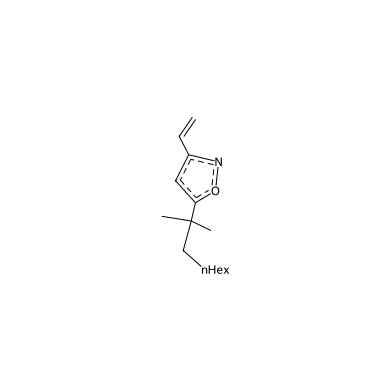 C=Cc1cc(C(C)(C)CCCCCCC)on1